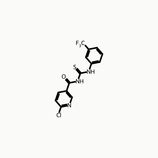 O=C(NC(=S)Nc1cccc(C(F)(F)F)c1)c1ccc(Cl)nc1